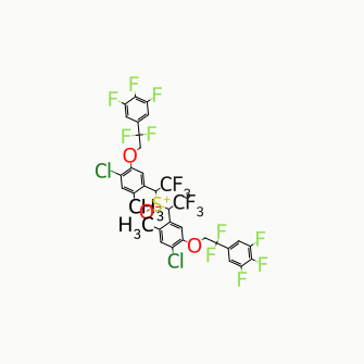 Cc1cc(Cl)c(OCC(F)(F)c2cc(F)c(F)c(F)c2)cc1C([S+]([O-])C(c1cc(OCC(F)(F)c2cc(F)c(F)c(F)c2)c(Cl)cc1C)C(F)(F)F)C(F)(F)F